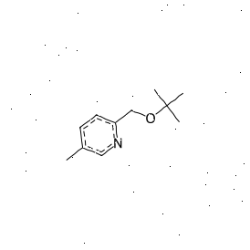 Cc1ccc(COC(C)(C)C)nc1